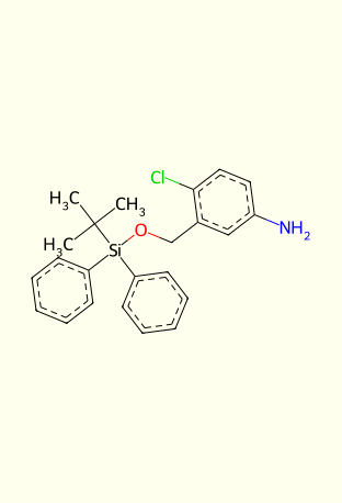 CC(C)(C)[Si](OCc1cc(N)ccc1Cl)(c1ccccc1)c1ccccc1